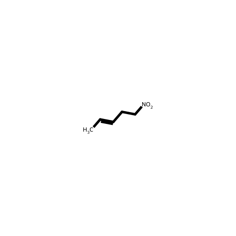 C/C=C/CC[N+](=O)[O-]